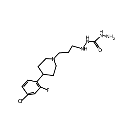 NNC(=O)NNCCCN1CCC(c2ccc(Cl)cc2F)CC1